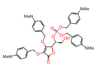 CNc1ccc(COC2=C(OCc3ccc(NC)cc3)[C@@H]([C@H](CO)OP(=O)(OCc3ccc(NC)cc3)OCc3ccc(NC)cc3)OC2=O)cc1